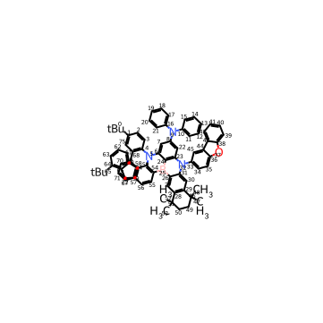 CC(C)(C)c1ccc(N2c3cc(N(c4ccccc4)c4ccccc4)cc4c3B(c3cc5c(cc3N4c3ccc4oc6ccccc6c4c3)C(C)(C)CCC5(C)C)c3ccc4c(c32)-c2cccc(C(C)(C)C)c2C4)c(-c2ccccc2)c1